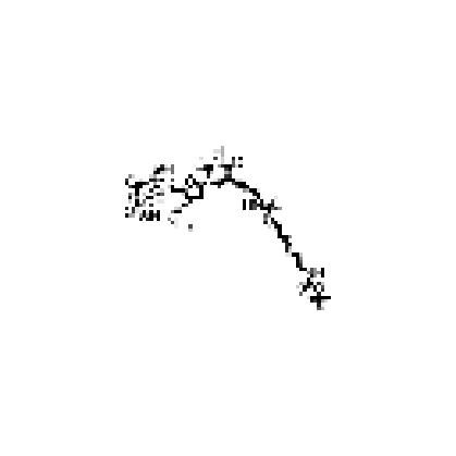 CC(C)(C)OC(=O)NCCSSCCOC(=O)NCC#Cc1cn([C@H]2C[C@@H](OCN)C(COP(=O)(O)OP(=O)(O)OP(=O)(O)O)O2)c(=O)[nH]c1=O